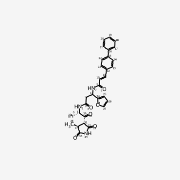 CC(C)[C@H](NC(=O)CC(NC(=O)/C=C/c1ccc(-c2ccccc2)cc1)c1ccco1)C(=O)[C@@H]1C(=O)NC(=O)[C@H]1C